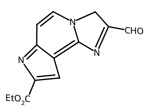 CCOC(=O)c1cc2c3n(ccc-2n1)CC(C=O)=N3